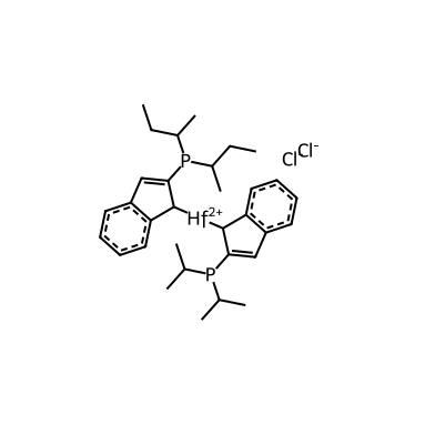 CCC(C)P(C1=Cc2ccccc2[CH]1[Hf+2][CH]1C(P(C(C)C)C(C)C)=Cc2ccccc21)C(C)CC.[Cl-].[Cl-]